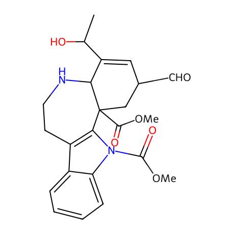 COC(=O)n1c2c(c3ccccc31)CCNC1C(C(C)O)=CC(C=O)CC21C(=O)OC